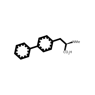 CN[C@H](Cc1ccc(-c2ccccc2)cc1)C(=O)O